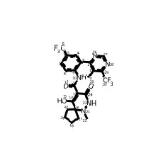 Cc1c(-c2cc(C(F)(F)F)ccc2NC(=O)C2=C(O)C3(CCCC3)N(C)NC2=O)ncnc1C(F)(F)F